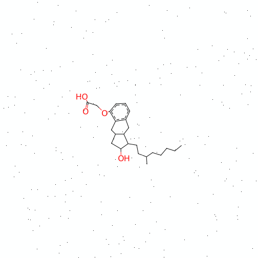 CCCCCC(C)CCC1C(O)CC2Cc3c(cccc3OCC(=O)O)CC21